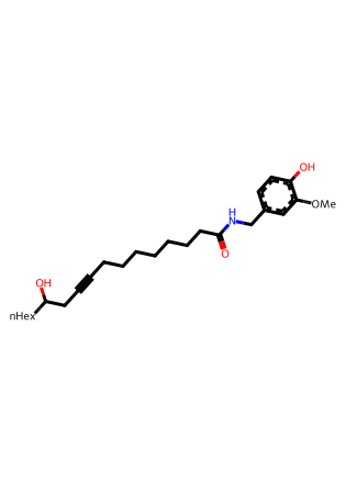 CCCCCCC(O)CC#CCCCCCCCC(=O)NCc1ccc(O)c(OC)c1